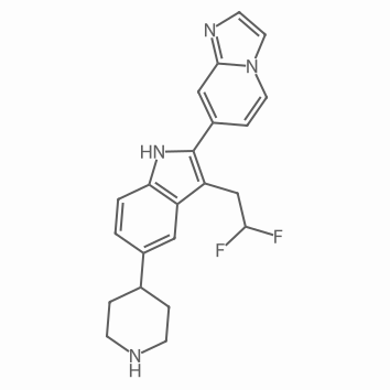 FC(F)Cc1c(-c2ccn3ccnc3c2)[nH]c2ccc(C3CCNCC3)cc12